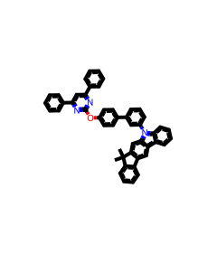 CC1(C)c2ccccc2-c2cc3c4ccccc4n(-c4cccc(-c5ccc(Oc6nc(-c7ccccc7)cc(-c7ccccc7)n6)cc5)c4)c3cc21